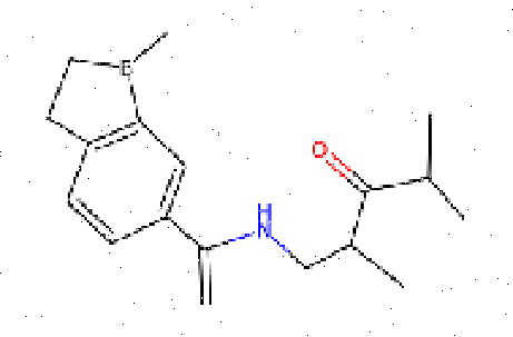 C=C(NCC(C)C(=O)C(C)C)c1ccc2c(c1)B(C)CC2